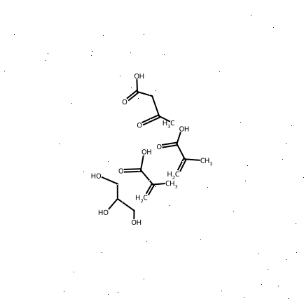 C=C(C)C(=O)O.C=C(C)C(=O)O.CC(=O)CC(=O)O.OCC(O)CO